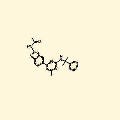 CC(=O)Nc1nc2ccc(-c3cc(C)nc(NC(C)(C)c4ccccc4)n3)cc2s1